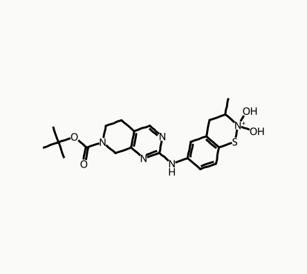 CC1Cc2cc(Nc3ncc4c(n3)CN(C(=O)OC(C)(C)C)CC4)ccc2S[N+]1(O)O